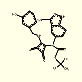 CC(C)(C)OC(=O)N(c1ccc2[nH]nc(N)c2c1)c1c(NCc2cccc(O)c2)c(=O)c1=O